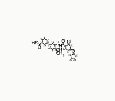 COc1ccc(-c2cccc(C(=O)O)c2)cc1CNC(=O)c1ccc(OC2CCCC2)cc1Cl